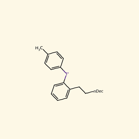 CCCCCCCCCCCCc1ccccc1[I+]c1ccc(C)cc1